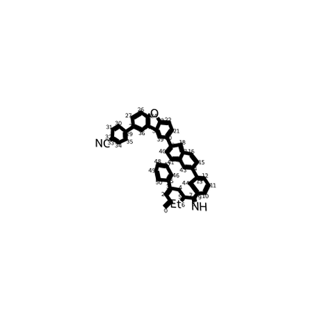 C=C/C=C(\CC(CC)C(=N)c1cccc(-c2ccc3cc(-c4ccc5oc6ccc(-c7ccc(C#N)cc7)cc6c5c4)ccc3c2)c1)c1ccccc1